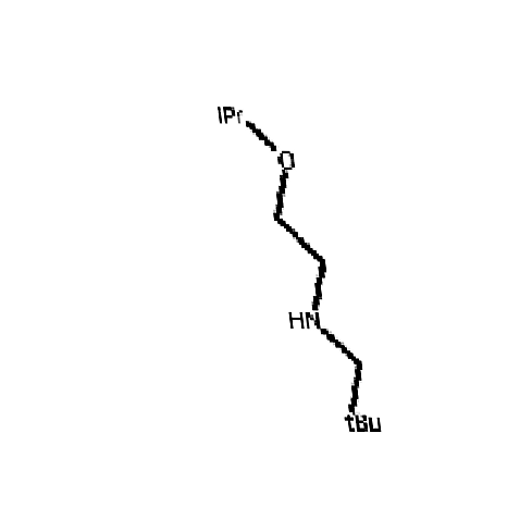 CC(C)OCCNCC(C)(C)C